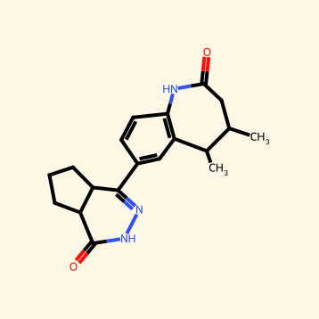 CC1CC(=O)Nc2ccc(C3=NNC(=O)C4CCCC34)cc2C1C